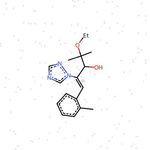 CCOC(C)(C)C(O)/C(=C/c1ccccc1C)n1cncn1